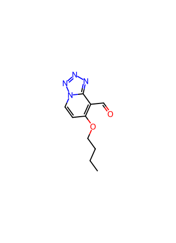 CCCCOc1ccn2nnnc2c1C=O